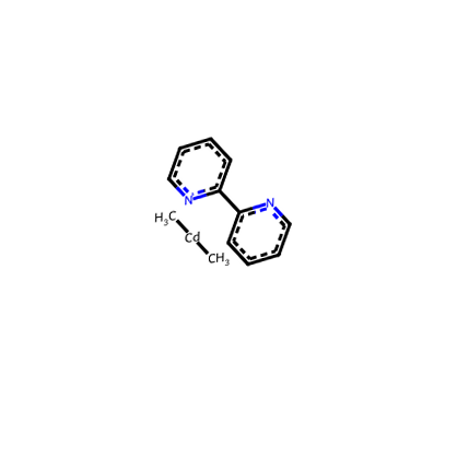 [CH3][Cd][CH3].c1ccc(-c2ccccn2)nc1